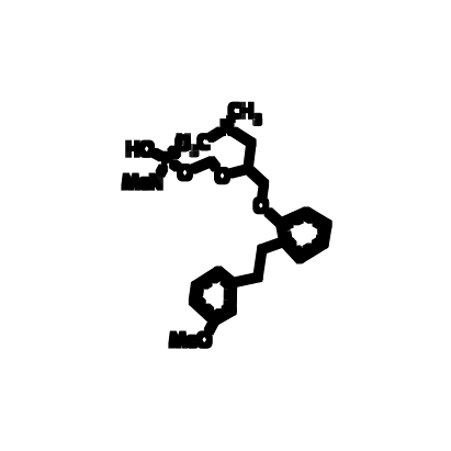 CNP(=O)(O)OCOC(COc1ccccc1CCc1cccc(OC)c1)CN(C)C